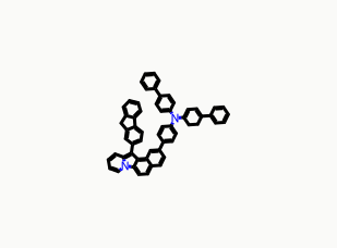 C1=C(c2ccccc2)CCC(N(c2ccc(-c3ccccc3)cc2)c2ccc(-c3ccc4ccc5c(c(-c6ccc7c(c6)Cc6ccccc6-7)c6ccccn65)c4c3)cc2)=C1